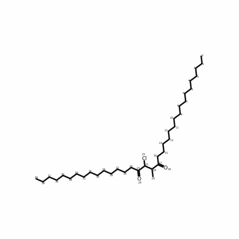 CCCCCCCCCCCCCCCCCC(=O)C(C)C(Cl)C(=O)CCCCCCCCCCCCCCC